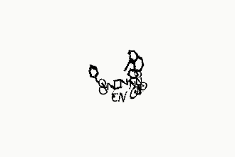 Cc1cccc2c1C1(CCC2)CCc2c(nc(S(C)(=O)=O)nc2N2CCN(C(=O)OCc3ccccc3)[C@@H](CC#N)C2)O1